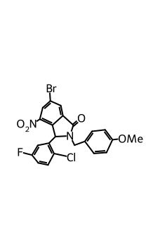 COc1ccc(CN2C(=O)c3cc(Br)cc([N+](=O)[O-])c3C2c2cc(F)ccc2Cl)cc1